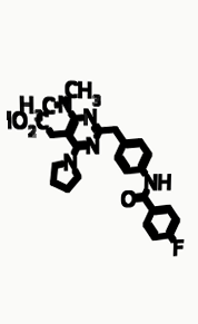 CN(C)c1nc(Cc2ccc(NC(=O)c3ccc(F)cc3)cc2)nc(N2CCCC2)c1CC(=O)O